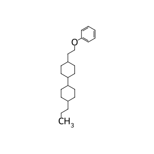 CCCC1CCC(C2CCC(CCOc3ccccc3)CC2)CC1